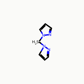 c1cnn([SiH2]n2cccn2)c1